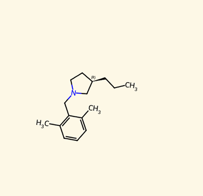 CCC[C@@H]1CCN(Cc2c(C)cccc2C)C1